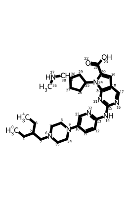 CCC(CC)CN1CCN(c2ccc(Nc3ncc4cc(C(=O)O)n(C5CCCC5)c4n3)nc2)CC1.CNC